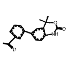 CC(=O)c1cccc(-c2ccc3c(c2)C(C)(C)OC(=O)N3)c1